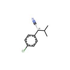 CC(C)[C@@H](C#N)c1ccc(Cl)cc1